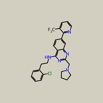 FC(F)(F)c1cccnc1-c1ccc2c(NCCc3ccccc3Cl)nc(CN3CCCC3)nc2c1